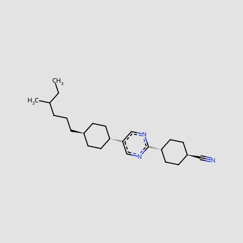 CCC(C)CCC[C@H]1CC[C@H](c2cnc([C@H]3CC[C@H](C#N)CC3)nc2)CC1